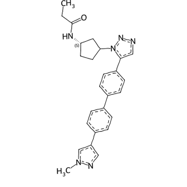 CCC(=O)N[C@H]1CCC(n2nncc2-c2ccc(-c3ccc(-c4cnn(C)c4)cc3)cc2)C1